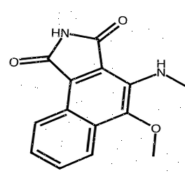 CNc1c2c(c3ccccc3c1OC)C(=O)NC2=O